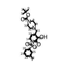 CC(C)(C)OC(=O)N1CCN(Cc2ccn(S(=O)(=O)c3cccc(F)c3)c(=O)c2O)CC1